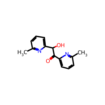 Cc1cccc(C(=O)C(O)c2cccc(C)n2)n1